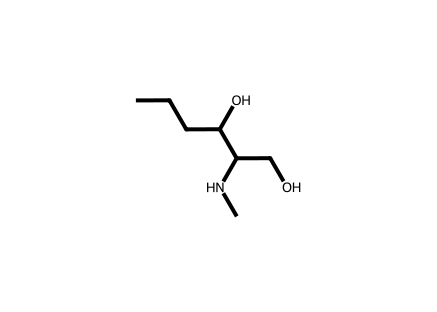 CCCC(O)C(CO)NC